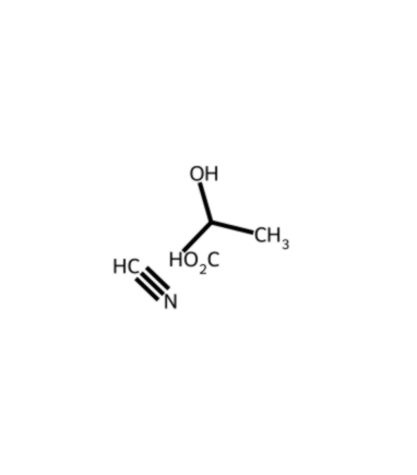 C#N.CC(O)C(=O)O